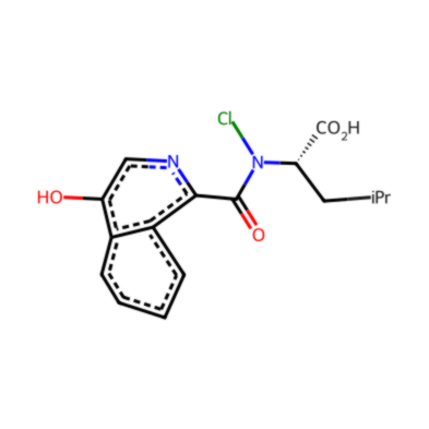 CC(C)C[C@@H](C(=O)O)N(Cl)C(=O)c1ncc(O)c2ccccc12